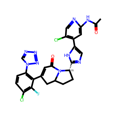 CC(=O)Nc1cc(-c2cnc([C@@H]3CCC4CC(c5c(-n6cnnn6)ccc(Cl)c5F)=CC(=O)N43)[nH]2)c(Cl)cn1